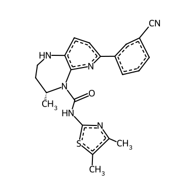 Cc1nc(NC(=O)N2c3nc(-c4cccc(C#N)c4)ccc3NCC[C@H]2C)sc1C